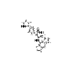 N[S@](=O)(=NC(=O)Nc1c2c(cc3c1CCC3)CCC2)c1ccc([C@H]2CCCN2)s1